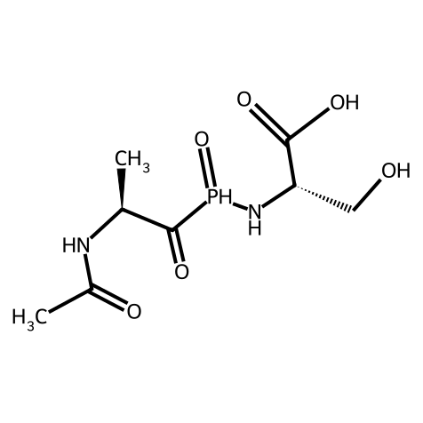 CC(=O)N[C@@H](C)C(=O)[PH](=O)N[C@@H](CO)C(=O)O